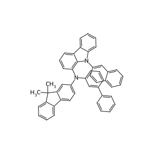 CC1(C)c2ccccc2-c2ccc(N(c3cccc(-c4ccccc4)c3)c3cccc4c5ccccc5n(-c5ccc6ccccc6c5)c34)cc21